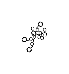 O=C(ON1C(=O)CCC1=O)c1c(OCc2ccccc2)c(=O)ccn1CC(COCc1ccccc1)OCc1ccccc1